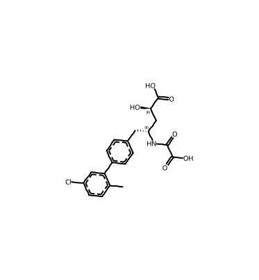 Cc1ccc(Cl)cc1-c1ccc(C[C@H](C[C@@H](O)C(=O)O)NC(=O)C(=O)O)cc1